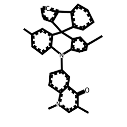 Cc1ccc2c(c1)C1(c3ccccc3-c3ccccc31)c1cc(C)ccc1N2c1ccc2c(c1)c(=O)c(C)cn2C